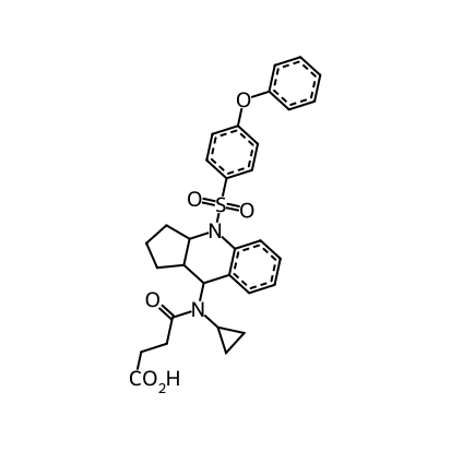 O=C(O)CCC(=O)N(C1CC1)C1c2ccccc2N(S(=O)(=O)c2ccc(Oc3ccccc3)cc2)C2CCCC12